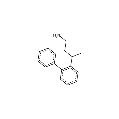 CC(CCN)c1ccccc1-c1ccccc1